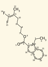 CCn1c(C(=O)OCCCCC(C)=C(F)F)cc2ccccc21